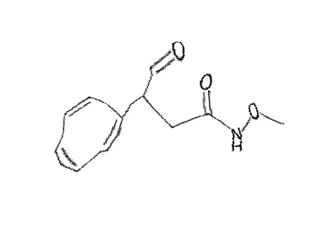 CONC(=O)CC(C=O)c1ccccc1